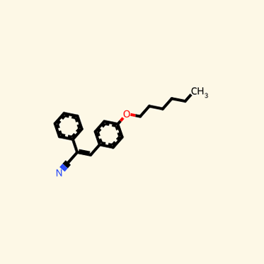 CCCCCCOc1ccc(/C=C(/C#N)c2ccccc2)cc1